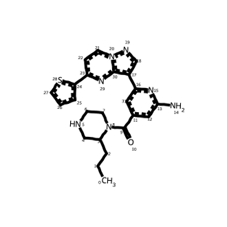 CCCC1CNCCN1C(=O)c1cc(N)nc(-c2cnn3ccc(-c4cccs4)nc23)c1